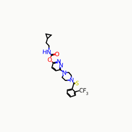 O=C(NCCC1CC1)Oc1ccc(N2CCN(C(=S)c3ccccc3C(F)(F)F)CC2)nn1